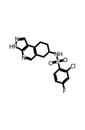 O=S(=O)(NC1CCc2c(cnc3[nH]ncc23)C1)c1ccc(F)cc1Cl